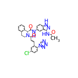 CC(=O)Nc1n[nH]c2ccc(NC(=O)[C@@H]3c4ccccc4CCN3C(=O)C=Cc3cc(Cl)ccc3-n3cnnn3)cc12